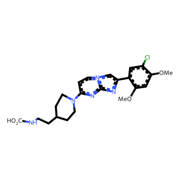 COc1cc(OC)c(-c2cn3ccc(N4CCC(CCNC(=O)O)CC4)nc3n2)cc1Cl